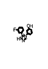 Oc1cccc(N2[C]=NNN2c2cccc(F)c2)c1